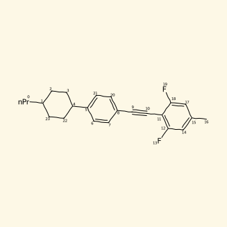 CCCC1CCC(c2ccc(C#Cc3c(F)cc(C)cc3F)cc2)CC1